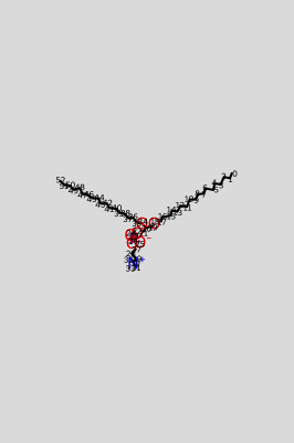 CCCCCCCCCCCCCCCCCCOCC(COP(=O)([O-])OCCC[N+](C)(C)C)OCCCCCCCCCCCCCCCCCC